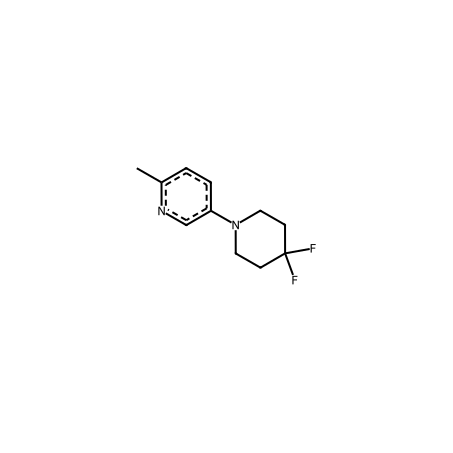 Cc1ccc(N2CCC(F)(F)CC2)cn1